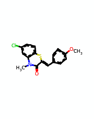 COc1ccc(C=C2Sc3ccc(Cl)cc3N(C)C2=O)cc1